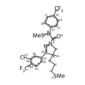 CSCCCC1(C)CN(C(=O)N(SC)c2ccc(C(F)(F)F)cc2)N=C1c1ccc(C(F)(F)F)c(Cl)c1